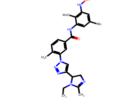 COc1c(NO)cc(C(C)(C)C)cc1NC(=O)c1ccc(C)c(-n2cc(C3CN=C(C)N3CC(F)(F)F)nn2)c1